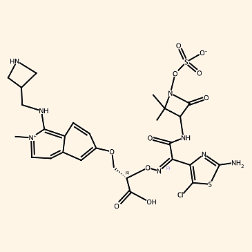 C[n+]1ccc2cc(OC[C@H](O/N=C(\C(=O)NC3C(=O)N(OS(=O)(=O)[O-])C3(C)C)c3nc(N)sc3Cl)C(=O)O)ccc2c1NCC1CNC1